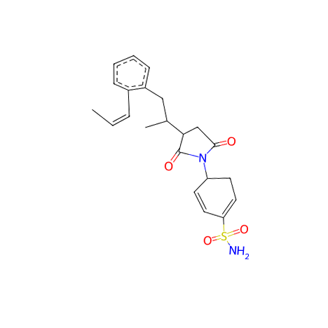 C/C=C\c1ccccc1CC(C)C1CC(=O)N(C2C=CC(S(N)(=O)=O)=CC2)C1=O